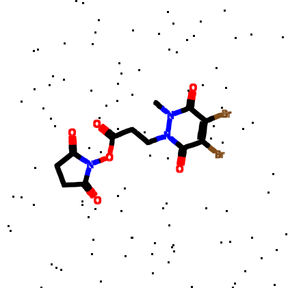 Cn1c(=O)c(Br)c(Br)c(=O)n1CCC(=O)ON1C(=O)CCC1=O